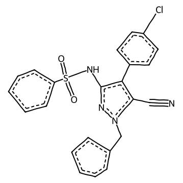 N#Cc1c(-c2ccc(Cl)cc2)c(NS(=O)(=O)c2ccccc2)nn1Cc1ccccc1